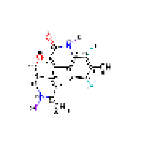 Cc1c(F)cc2c3c(c(=O)n(I)c2c1F)OCC1CN(I)C(C)C=C31